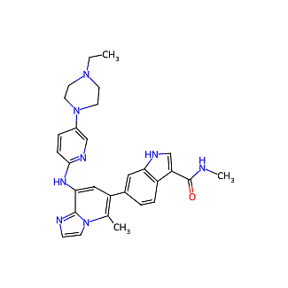 CCN1CCN(c2ccc(Nc3cc(-c4ccc5c(C(=O)NC)c[nH]c5c4)c(C)n4ccnc34)nc2)CC1